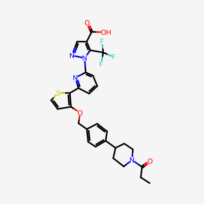 CCC(=O)N1CCC(c2ccc(COc3ccsc3-c3cccc(-n4ncc(C(=O)O)c4C(F)(F)F)n3)cc2)CC1